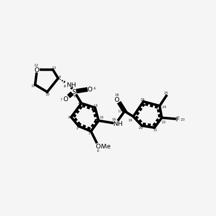 COc1ccc(S(=O)(=O)N[C@@H]2CCOC2)cc1NC(=O)c1ccc(F)c(C)c1